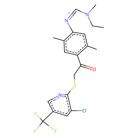 CCN(C)/C=N\c1cc(C)c(C(=O)CSc2ncc(C(F)(F)F)cc2Cl)cc1C